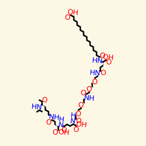 CC(=O)[C@H](CCCCNC(=O)CC[C@H](NC(=O)CCC(NC(=O)COCCOCCNC(=O)COCCOCCNC(=O)CC[C@H](NC(=O)CCCCCCCCCCCCCCCCC(=O)O)C(=O)O)C(=O)O)C(=O)O)NC(C)C